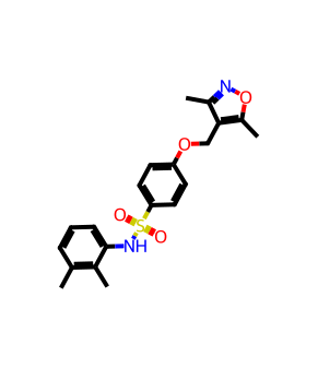 Cc1cccc(NS(=O)(=O)c2ccc(OCc3c(C)noc3C)cc2)c1C